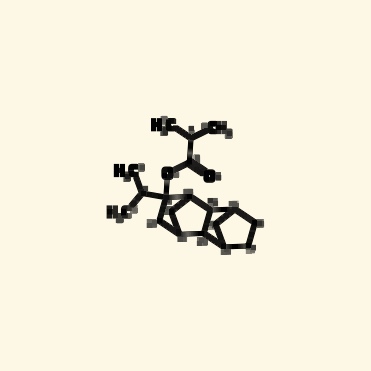 CC(C)C(=O)OC1(C(C)C)CC2CC1C1C3CCC(C3)C21